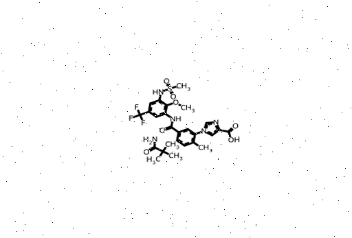 CC(C)(C)C(N)=O.COc1c(NC(=O)c2ccc(C)c(-n3cnc(C(=O)O)c3)c2)cc(C(F)(F)F)cc1NS(C)(=O)=O